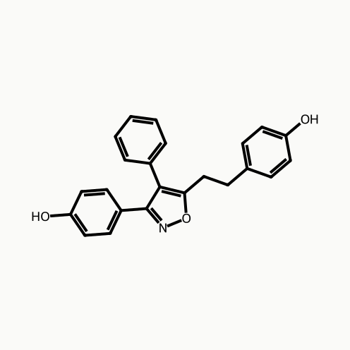 Oc1ccc(CCc2onc(-c3ccc(O)cc3)c2-c2ccccc2)cc1